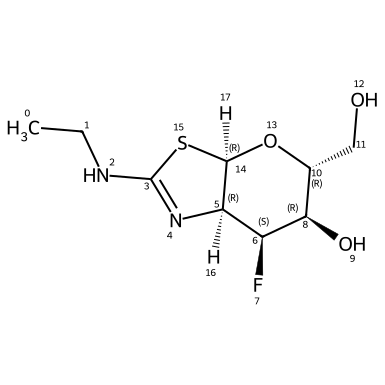 CCNC1=N[C@@H]2[C@H](F)[C@H](O)[C@@H](CO)O[C@@H]2S1